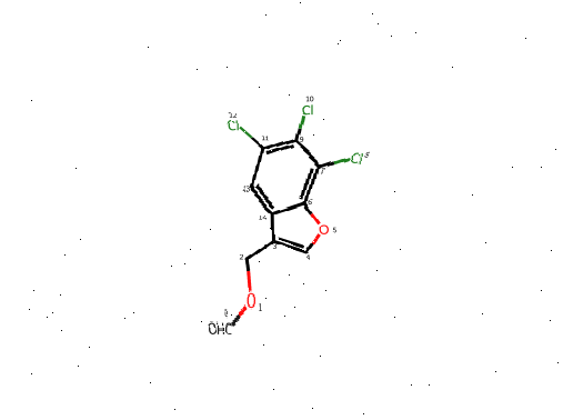 O=COCc1coc2c(Cl)c(Cl)c(Cl)cc12